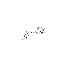 COCC(C)(C)CC/C=C/C(F)(F)C(C)(C)C